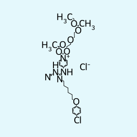 CCOC(C)OCCOCCOC(OC(C)=O)[n+]1ccc(N/C(=N\CCCCCCOc2ccc(Cl)cc2)NC#N)cc1.[Cl-]